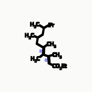 CCOC(=O)/C=C(C)/C(C)=C(\C)CC(C)CC(C)C(C)C